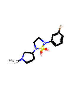 O=C(O)N1CCC(N2CCN(c3cccc(Br)c3)S2(=O)=O)C1